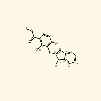 COC(=O)c1ccc(Cl)c(Cc2cc3cccnc3n2C)c1Cl